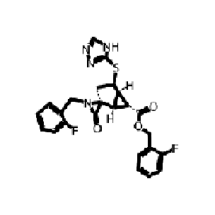 O=C(OCc1ccccc1F)[C@H]1[C@H]2[C@@H]1[C@@]1(C[C@H]2Sc2nnc[nH]2)C(=O)N1Cc1ccccc1F